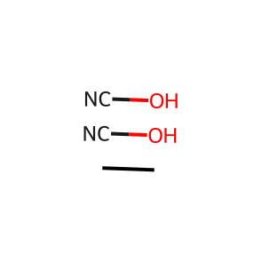 CC.N#CO.N#CO